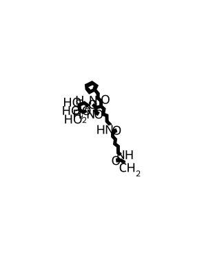 C=CC(=O)NCCCCCC(=O)NCCCCCC(C(=O)[C@@H](N)Cc1ccccc1)C(O[C@H]1C[C@@H](O)[C@H](O)[C@@H](CO)O1)C(N)=O